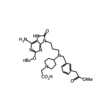 CCCCOc1nc(N)c2[nH]c(=O)n(CCCN(Cc3cccc(CC(=O)OC)c3)C3CCN(CC(=O)O)CC3)c2n1